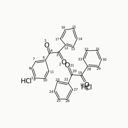 Cl.Cl.O=C(C(=O)c1ccccc1)c1ccccc1.O=C(C(=O)c1ccccc1)c1ccccc1